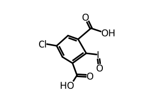 O=Ic1c(C(=O)O)cc(Cl)cc1C(=O)O